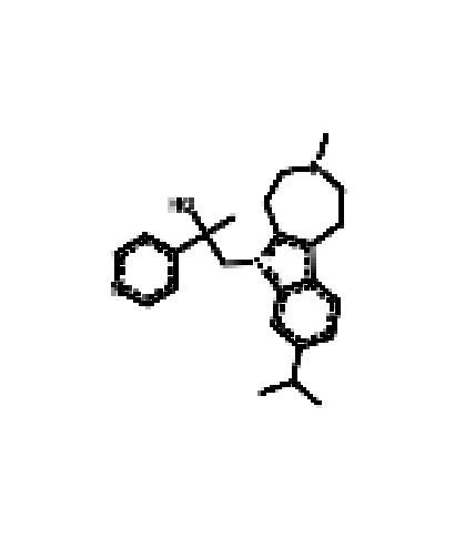 CC(C)c1ccc2c3c(n(CC(C)(O)c4ccncc4)c2c1)CCN(C)CC3